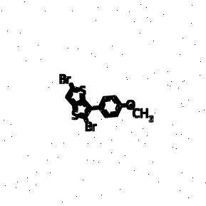 COc1ccc(-c2c(Br)sc3cc(Br)sc23)cc1